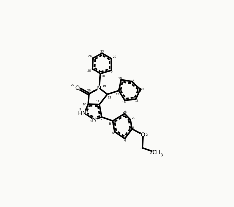 CCOc1ccc(-c2n[nH]c3c2C(c2ccccc2)N(c2ccccc2)C3=O)cc1